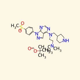 CC(C)(C)OC=O.CN(C)CCN(CC1CCNCC1)c1ncnc2c1cnn2-c1ccc(S(C)(=O)=O)cc1